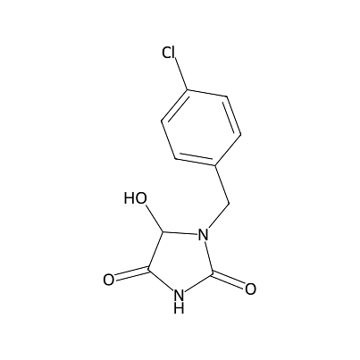 O=C1NC(=O)N(Cc2ccc(Cl)cc2)C1O